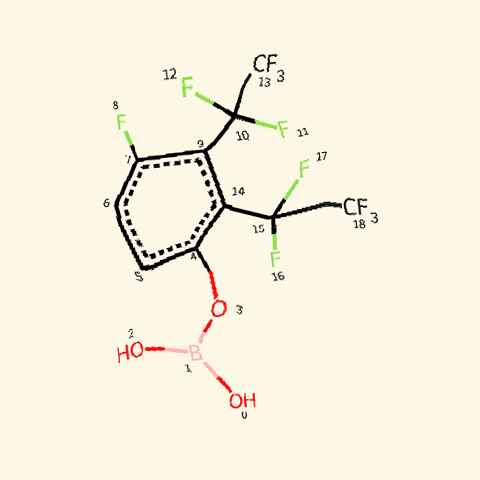 OB(O)Oc1ccc(F)c(C(F)(F)C(F)(F)F)c1C(F)(F)C(F)(F)F